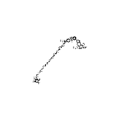 CCCN(CCC)C(=O)C1=Cc2ccc(-c3cccc(S(=O)(=O)N4CCC(N(C)CCOCCOCCOCCOCCOCCOCCOCCOCCOCCOCCC(=O)Oc5c(F)c(F)cc(F)c5F)CC4)c3)cc2N=C(N)C1